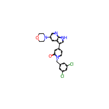 O=c1cc(-c2c[nH]c3ncc(N4CCOCC4)cc23)ccn1Cc1cc(Cl)cc(Cl)c1